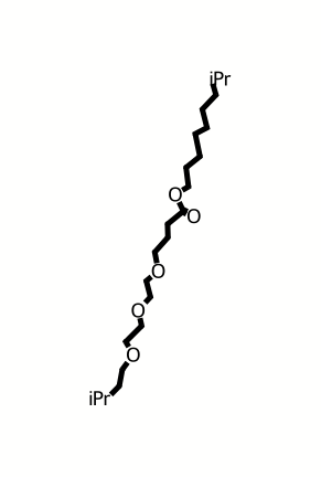 CC(C)CCCCCCCOC(=O)CCCOCCOCCOCCC(C)C